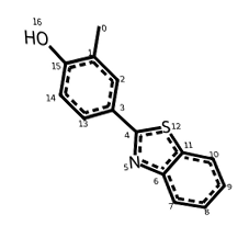 Cc1cc(-c2nc3ccccc3s2)ccc1O